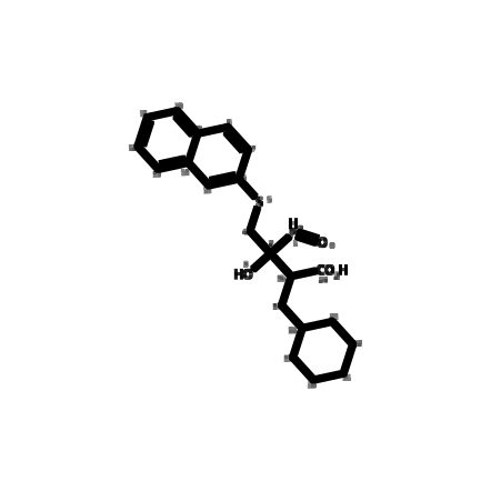 O=[PH2]C(O)(CSc1ccc2ccccc2c1)C(CC1CCCCC1)C(=O)O